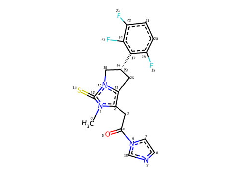 Cn1c(CC(=O)n2ccnc2)c2n(c1=S)C[C@H](c1c(F)ccc(F)c1F)C2